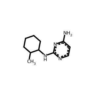 CC1CCCCC1Nc1nccc(N)n1